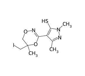 Cc1nn(C)c(S)c1C1=NOCC(C)(CI)O1